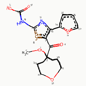 COC1(C(=O)c2sc(NC(=O)O)nc2-c2ccco2)CCOCC1